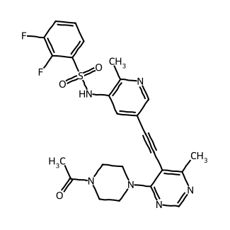 CC(=O)N1CCN(c2ncnc(C)c2C#Cc2cnc(C)c(NS(=O)(=O)c3cccc(F)c3F)c2)CC1